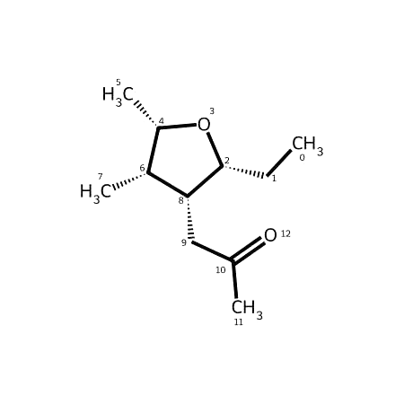 CC[C@H]1O[C@@H](C)[C@@H](C)[C@H]1CC(C)=O